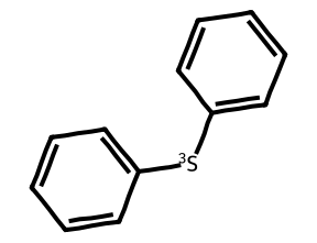 c1ccc([3S]c2ccccc2)cc1